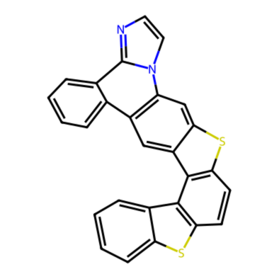 c1ccc2c(c1)sc1ccc3sc4cc5c(cc4c3c12)c1ccccc1c1nccn51